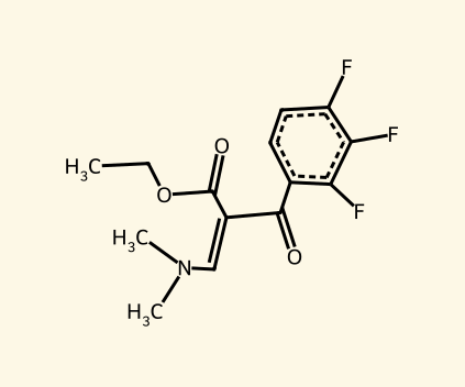 CCOC(=O)C(=CN(C)C)C(=O)c1ccc(F)c(F)c1F